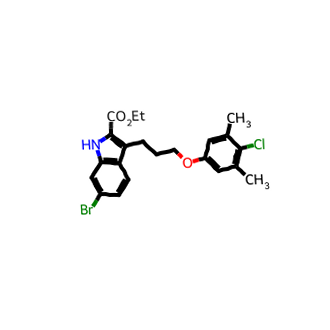 CCOC(=O)c1[nH]c2cc(Br)ccc2c1CCCOc1cc(C)c(Cl)c(C)c1